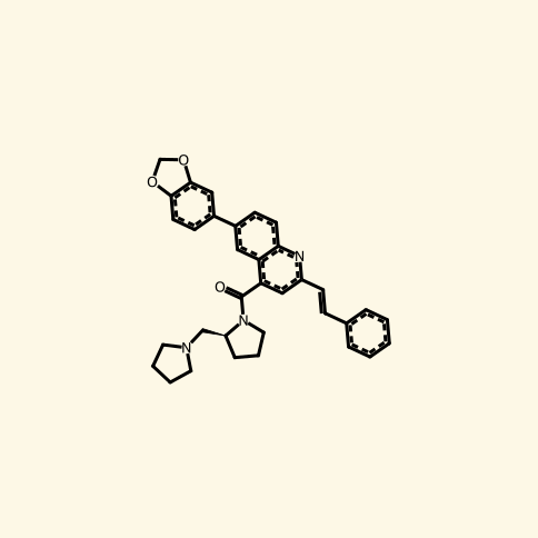 O=C(c1cc(/C=C/c2ccccc2)nc2ccc(-c3ccc4c(c3)OCO4)cc12)N1CCC[C@H]1CN1CCCC1